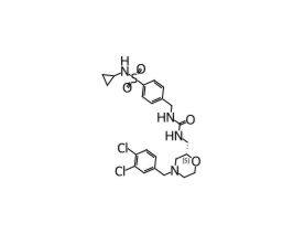 O=C(NCc1ccc(S(=O)(=O)NC2CC2)cc1)NC[C@H]1CN(Cc2ccc(Cl)c(Cl)c2)CCO1